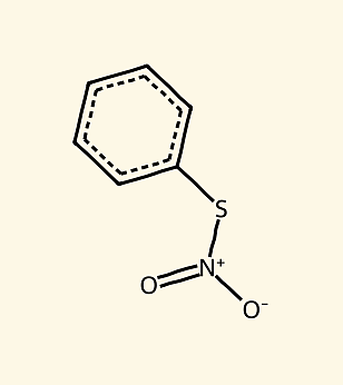 O=[N+]([O-])Sc1ccccc1